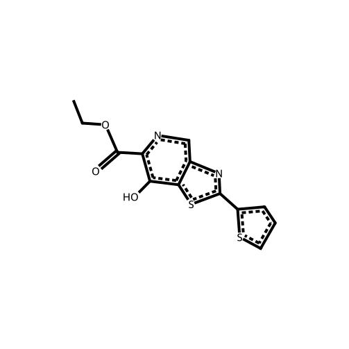 CCOC(=O)c1ncc2nc(-c3cccs3)sc2c1O